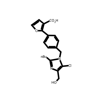 CCCCc1nc(CO)c(Cl)n1Cc1ccc(-c2occc2C(=O)O)cc1